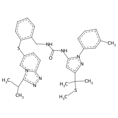 CSC(C)(C)c1cc(NC(=O)NCc2ccccc2Sc2ccc3nnc(C(C)C)n3c2)n(-c2cccc(C)c2)n1